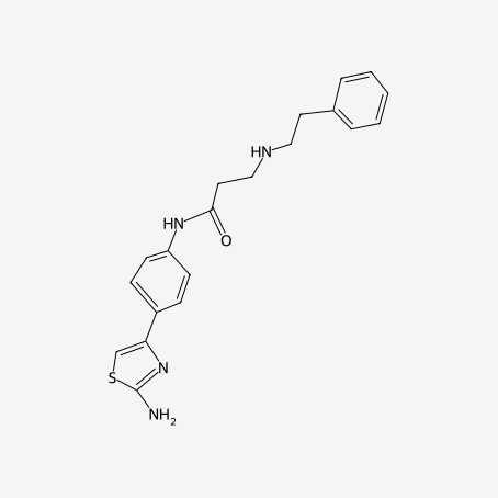 Nc1nc(-c2ccc(NC(=O)CCNCCc3ccccc3)cc2)cs1